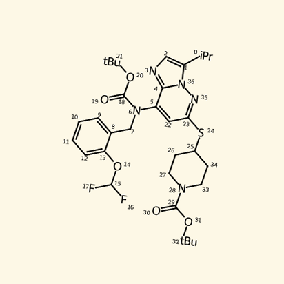 CC(C)c1cnc2c(N(Cc3ccccc3OC(F)F)C(=O)OC(C)(C)C)cc(SC3CCN(C(=O)OC(C)(C)C)CC3)nn12